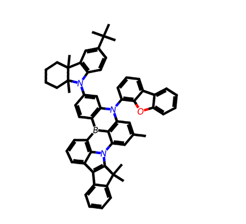 Cc1cc2c3c(c1)-n1c4c(c5cccc(c51)B3c1ccc(N3c5ccc(C(C)(C)C)cc5C5(C)CCCCC35C)cc1N2c1cccc2c1oc1ccccc12)-c1ccccc1C4(C)C